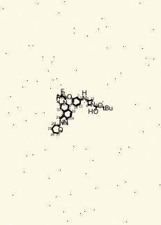 COc1cc(NC2CN(C(O)OC(C)(C)C)C2)ccc1[C@@H]1c2ccc3nn(C4CCCCO4)cc3c2C[C@@H](C)N1CC(F)F